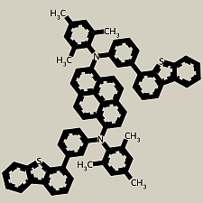 Cc1cc(C)c(N(c2cccc(-c3cccc4c3sc3ccccc34)c2)c2ccc3ccc4c(N(c5cccc(-c6cccc7c6sc6ccccc67)c5)c5c(C)cc(C)cc5C)ccc5ccc2c3c54)c(C)c1